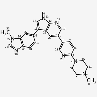 CN1CCN(c2ccc(-c3cnc4[nH]cc(-c5ccc6nnn(C)c6c5)c4c3)cn2)CC1